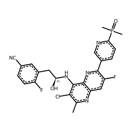 Cc1nc2cc(F)c(-c3ccc(P(C)(C)=O)nc3)nc2c(N[C@@H](O)Cc2cc(C#N)ccc2F)c1Cl